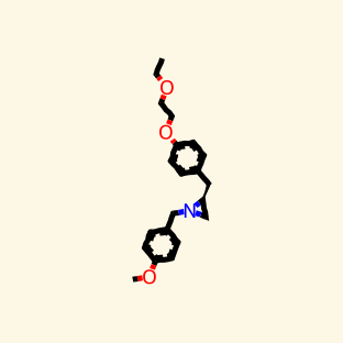 CCOCCOc1ccc(C[C@H]2CN2Cc2ccc(OC)cc2)cc1